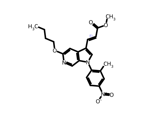 CCCCOc1cc2c(/C=C/C(=O)OC)cn(-c3ccc([N+](=O)[O-])cc3C)c2cn1